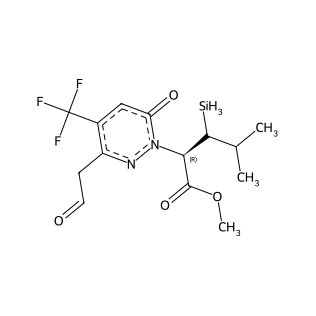 COC(=O)[C@H](C([SiH3])C(C)C)n1nc(CC=O)c(C(F)(F)F)cc1=O